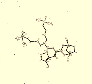 C[Si](C)(C)CCOCN(COCC[Si](C)(C)C)c1cc([C@H]2C[C@@H]3CC[C@@H](C3)C2)nc2c(I)cnn12